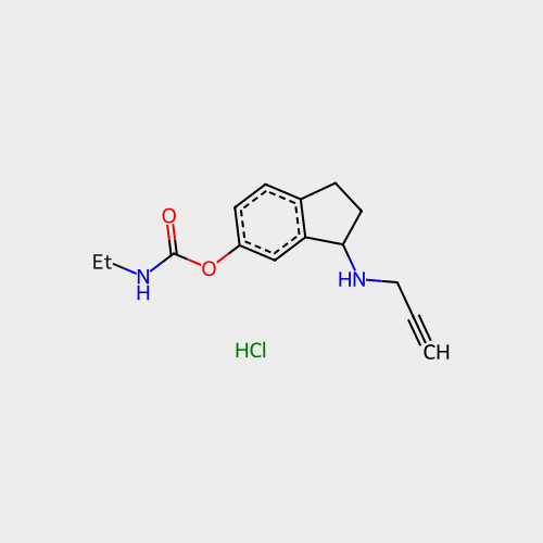 C#CCNC1CCc2ccc(OC(=O)NCC)cc21.Cl